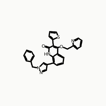 O=c1[nH]c2c(-c3cnn(Cc4ccccc4)c3)cccc2c(OCc2ccccn2)c1-c1cccs1